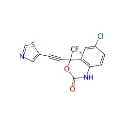 O=C1Nc2ccc(Cl)cc2C(C#Cc2cncs2)(C(F)(F)F)O1